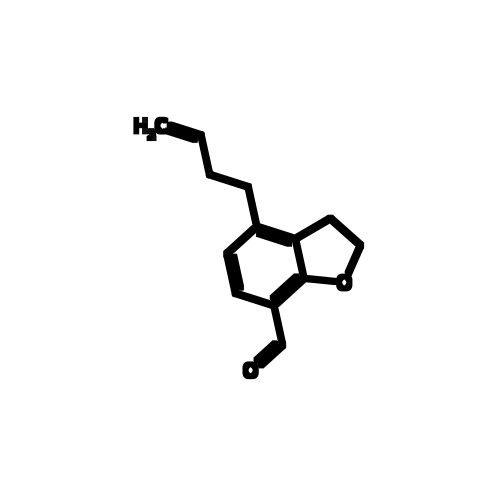 C=CCCc1ccc(C=O)c2c1CCO2